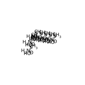 CS.CSCCC(N)C(=O)O.CSCCC(N)C(=O)O.CSCCC(N)C(=O)O.CSCCC(N)C(=O)O.CSCCC(N)C(=O)O.CSCCC(N)C(=O)O.CSCCC(N)C(=O)O